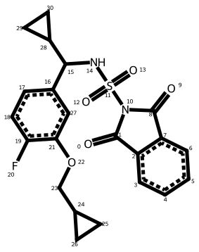 O=C1c2ccccc2C(=O)N1S(=O)(=O)NC(c1ccc(F)c(OCC2CC2)c1)C1CC1